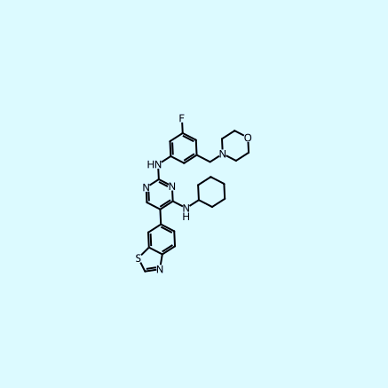 Fc1cc(CN2CCOCC2)cc(Nc2ncc(-c3ccc4ncsc4c3)c(NC3CCCCC3)n2)c1